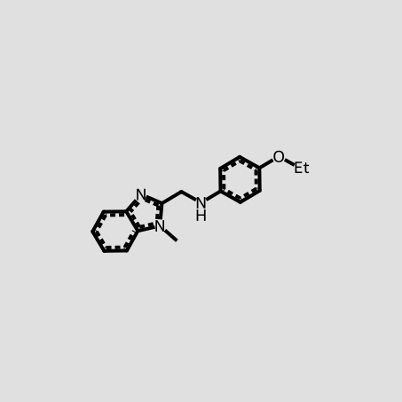 CCOc1ccc(NCc2nc3ccccc3n2C)cc1